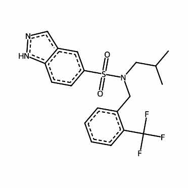 CC(C)CN(Cc1ccccc1C(F)(F)F)S(=O)(=O)c1ccc2[nH]ncc2c1